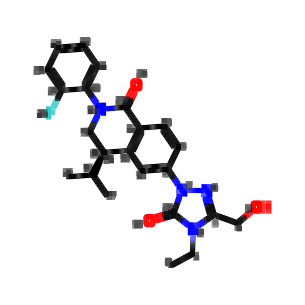 CCn1c(CO)nn(-c2ccc3c(c2)[C@@H](C(C)C)CN(c2ccccc2F)C3=O)c1=O